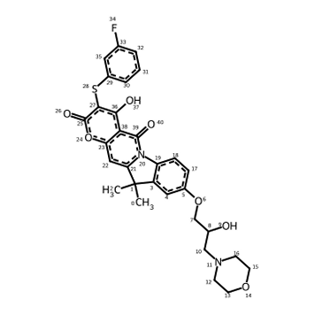 CC1(C)c2cc(OCC(O)CN3CCOCC3)ccc2-n2c1cc1oc(=O)c(Sc3cccc(F)c3)c(O)c1c2=O